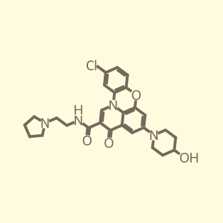 O=C(NCCN1CCCC1)c1cn2c3c(cc(N4CCC(O)CC4)cc3c1=O)Oc1ccc(Cl)cc1-2